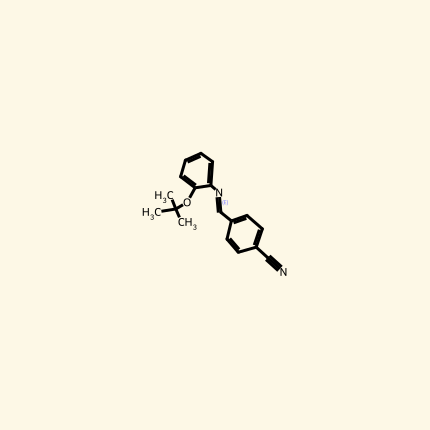 CC(C)(C)Oc1ccccc1/N=C/c1ccc(C#N)cc1